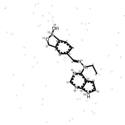 CCN(/N=C/c1ccc2c(c1)COB2O)c1ncnc2[nH]ccc12